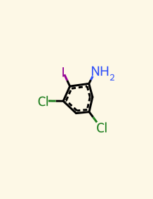 Nc1cc(Cl)cc(Cl)c1I